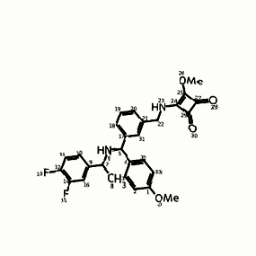 COc1ccc(C(NC(C)c2ccc(F)c(F)c2)c2cccc(CNc3c(OC)c(=O)c3=O)c2)cc1